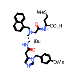 CC[C@H](C)[C@@H](CN(CC(=O)N[C@@H](CCSC)C(=O)O)Cc1cccc2ccccc12)NC(=O)Cc1cncn1Cc1ccc(OC)cc1